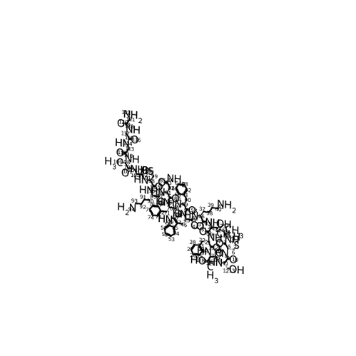 CCNC(=O)[C@H](CS)NC(=O)[C@H](CO)NC(=O)[C@@H](NC(=O)[C@H](Cc1ccccc1)NC(=O)[C@@H](NC(=O)[C@H](CCCCN)NC(=O)[C@H](Cc1c[nH]c2ccccc12)NC(=O)[C@H](Cc1ccccc1)NC(=O)[C@H](Cc1ccccc1)NC(=O)[C@H](CC(N)=O)NC(=O)[C@H](CCCCN)NC(=O)[C@H](CS)NC(=O)CNC(=O)[C@H](C)NC(=O)CNC(=O)CNC(=O)CN)[C@@H](C)O)[C@@H](C)O